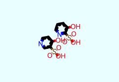 O=S(=O)(O)c1cnccc1O.O=S(=O)(O)c1ncccc1O